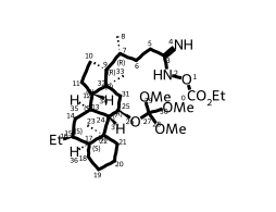 CCOC(=O)ONC(=N)CC[C@@H](C)[C@H]1CC[C@H]2[C@@H]3C[C@H](CC)[C@@H]4CCCC[C@]4(C)[C@H]3[C@H](OC(OC)(OC)OC)C[C@]12C